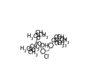 CC(C)(C)[Si](C)(C)Oc1ccc(Cc2cc(C3(O)CC(O[Si](C)(C)C)C[C@@H](CO[Si](C)(C)C)O3)ccc2Cl)cc1